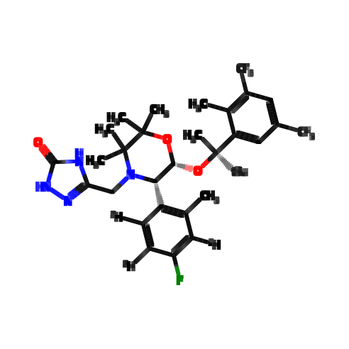 [2H]c1c([2H])c([C@H]2[C@@H](O[C@@](C)(c3cc(C(F)(F)F)cc(C(F)(F)F)c3C)C(C)(C)C)OC(C)(C)C(C)(C)N2Cc2n[nH]c(=O)[nH]2)c(C)c([2H])c1F